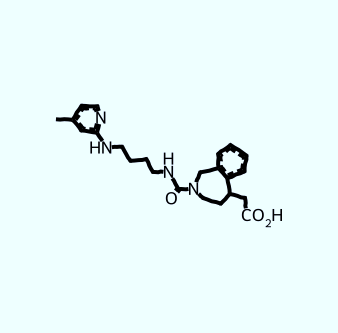 Cc1ccnc(NCCCCNC(=O)N2CCC(CC(=O)O)c3ccccc3C2)c1